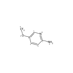 Nc1ccc(OC(F)(F)F)cn1